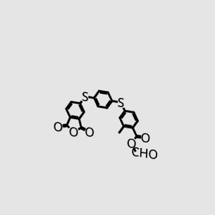 Cc1cc(Sc2ccc(Sc3ccc4c(c3)C(=O)OC4=O)cc2)ccc1C(=O)OC=O